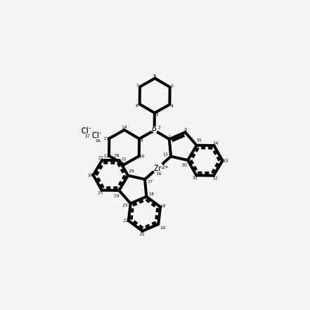 C1=C(P(C2CCCCC2)C2CCCCC2)[CH]([Zr+2][CH]2c3ccccc3-c3ccccc32)c2ccccc21.[Cl-].[Cl-]